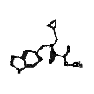 COC(=O)C(=O)N(Cc1ccc2scnc2c1)CC1CC1